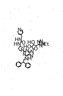 CCn1nnc(C2OC(n3cnc4c(NCC(c5ccccc5)c5ccccc5)nc(N5CCC(NC(=O)NCc6ccncc6)C5)nc43)C(O)C2O)n1